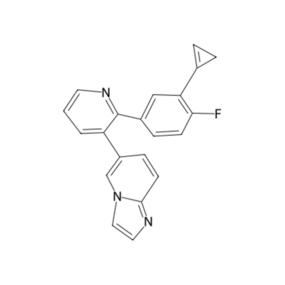 Fc1ccc(-c2ncccc2-c2ccc3nccn3c2)cc1C1=CC1